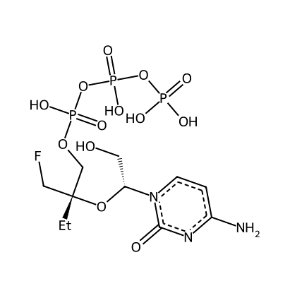 CC[C@@](CF)(COP(=O)(O)OP(=O)(O)OP(=O)(O)O)O[C@H](CO)n1ccc(N)nc1=O